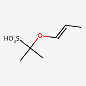 CC=COC(C)(C)S(=O)(=O)O